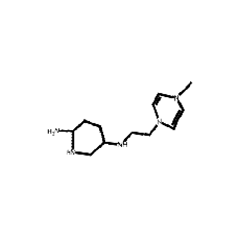 CN1C=CN(CCNC2CCC(N)NC2)C=C1